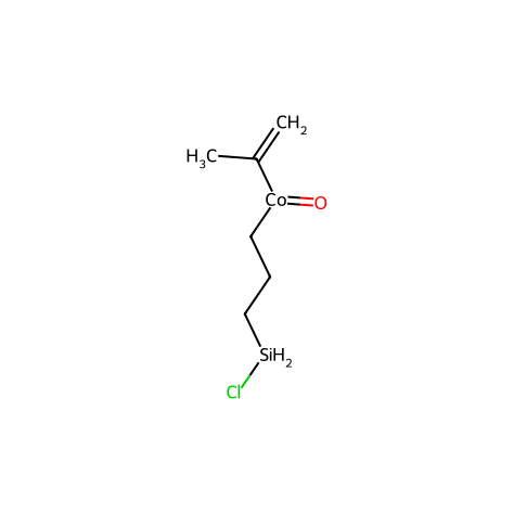 C=[C](C)[Co](=[O])[CH2]CC[SiH2]Cl